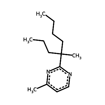 CCCCC(C)(CCC)c1nccc(C)n1